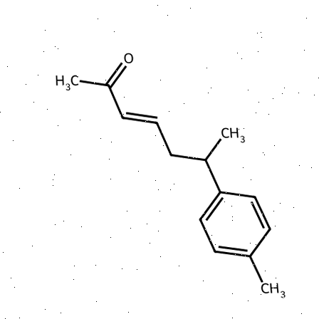 CC(=O)C=CCC(C)c1ccc(C)cc1